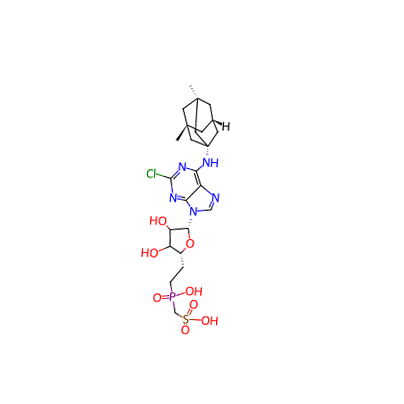 C[C@]12C[C@@H]3C[C@](C)(C1)C[C@@](Nc1nc(Cl)nc4c1ncn4[C@@H]1O[C@H](CCP(=O)(O)CS(=O)(=O)O)C(O)C1O)(C3)C2